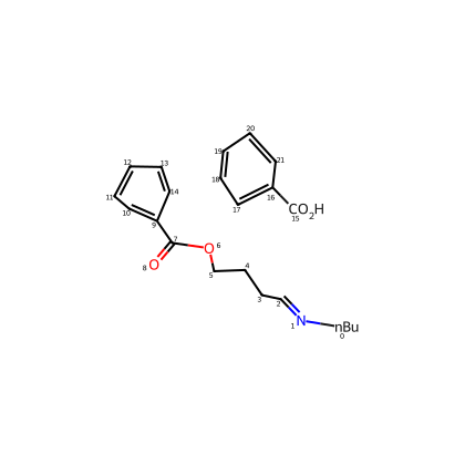 CCCCN=CCCCOC(=O)c1ccccc1.O=C(O)c1ccccc1